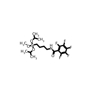 CO[Si](CCCCNC(=O)c1c(F)c(F)c(F)c(F)c1F)(OC(C)C)OC(C)C